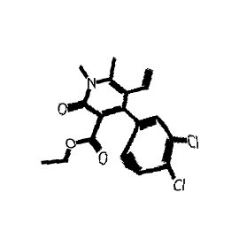 C=Cc1c(-c2ccc(Cl)c(Cl)c2)c(C(=O)OCC)c(=O)n(C)c1C